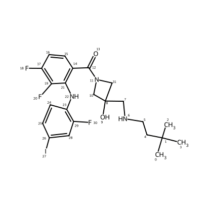 CC(C)(C)CCNCC1(O)CN(C(=O)c2ccc(F)c(F)c2Nc2ccc(I)cc2F)C1